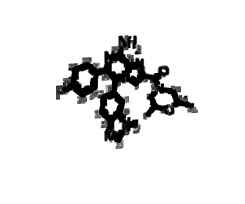 CC1CN(C(=O)c2cn3c(-c4ccc5ncn(C)c5c4)c(-c4ccc(F)cc4)nc(N)c3n2)CC(C)O1